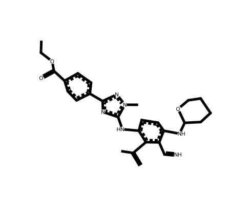 C=C(C)c1c(Nc2nc(-c3ccc(C(=O)OCC)cc3)nn2C)ccc(NC2CCCCO2)c1C=N